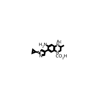 CC(=O)N1c2cc(N)c(-c3cnn(C4CC4)c3)cc2N(C(=O)O)CC1C